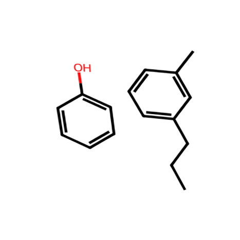 CCCc1cccc(C)c1.Oc1ccccc1